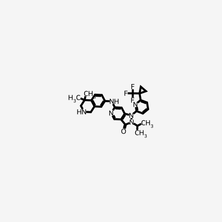 CC(C)n1c(=O)c2cnc(Nc3ccc4c(c3)CNCC4(C)C)cc2n1-c1cccc(C2(C(F)(F)F)CC2)n1